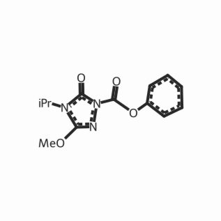 COc1nn(C(=O)Oc2ccccc2)c(=O)n1C(C)C